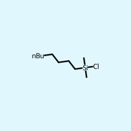 [CH2]CCCCCCC[Si](C)(C)Cl